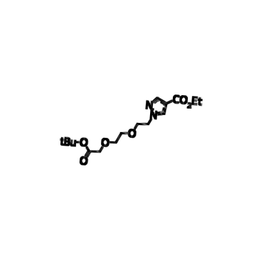 CCOC(=O)c1cnn(CCOCCOCC(=O)OC(C)(C)C)c1